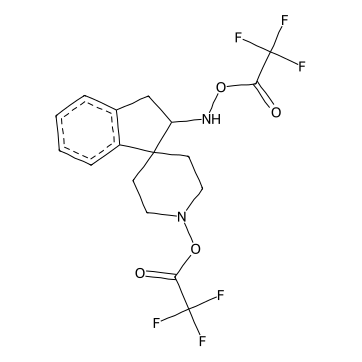 O=C(ONC1Cc2ccccc2C12CCN(OC(=O)C(F)(F)F)CC2)C(F)(F)F